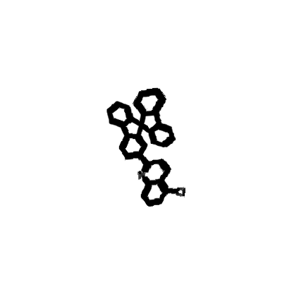 Clc1cccc2nc(-c3ccc4c(c3)C3(c5ccccc5-c5ccccc53)c3ccccc3-4)ccc12